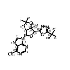 CC1(C)OC2[C@H](n3cnc4c(Cl)ncnc43)O[C@H](c3nnc(C(C)(C)C)o3)[C@H]2O1